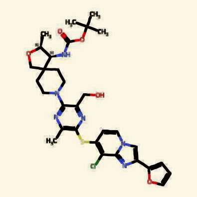 Cc1nc(N2CCC3(CC2)CO[C@@H](C)[C@H]3NC(=O)OC(C)(C)C)c(CO)nc1Sc1ccn2cc(-c3ccco3)nc2c1Cl